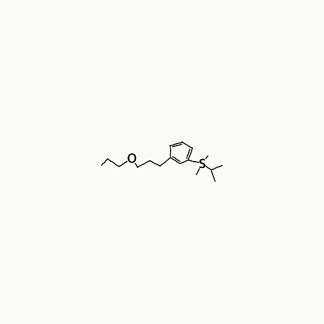 CCCOCCCc1cccc(S(C)(C)C(C)C)c1